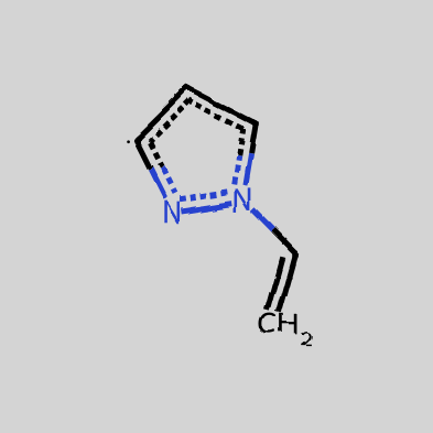 C=Cn1cc[c]n1